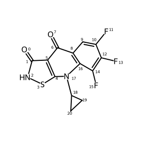 O=c1[nH]sc2c1c(=O)c1cc(F)c(F)c(F)c1n2C1CC1